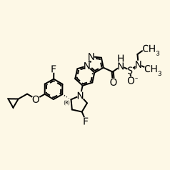 CCN(C)[S+]([O-])NC(=O)c1cnn2ccc(N3CC(F)C[C@@H]3c3cc(F)cc(OCC4CC4)c3)cc12